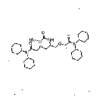 CC(C)(C)OC(=O)NC(COCC(=O)N(C1CCCCC1)C1CCCCC1)COCC(=O)N(C1CCCCC1)C1CCCCC1